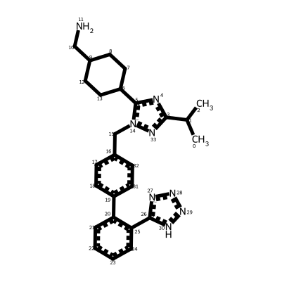 CC(C)c1nc(C2CCC(CN)CC2)n(Cc2ccc(-c3ccccc3-c3nnn[nH]3)cc2)n1